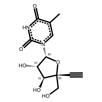 C#C[C@]1(CO)O[C@@H](n2cc(C)c(=O)[nH]c2=O)[C@@H](O)[C@@H]1O